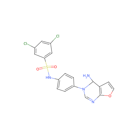 NC1c2ccoc2N=CN1c1ccc(NS(=O)(=O)c2cc(Cl)cc(Cl)c2)cc1